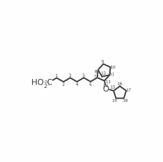 O=C(O)CCCCCCC1C2CCC(C2)C1OC1CCCC1